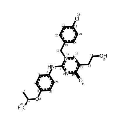 C[C@@H](Oc1ccc(Nc2nc(=O)c(CCO)nn2Cc2ccc(Cl)cc2)cc1)C(F)(F)F